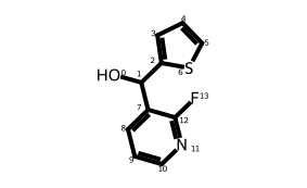 OC(c1cccs1)c1cccnc1F